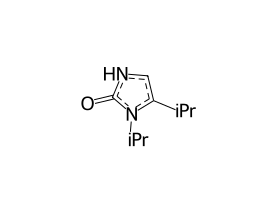 CC(C)c1c[nH]c(=O)n1C(C)C